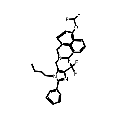 CCCCn1c(-c2ccccc2)nc(C(F)(F)F)c1CN(Cc1ccccc1)Cc1ccc(OC(F)F)cc1